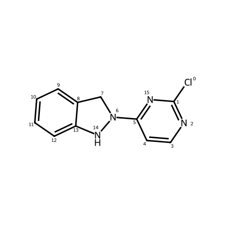 Clc1nccc(N2Cc3ccccc3N2)n1